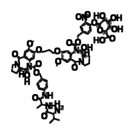 COc1cc2c(cc1OCCCOc1cc3c(cc1OC)C(=O)N1CCC[C@H]1[C@H](O)N3C(=O)OCc1ccc(O[C@@H]3O[C@H](C(=O)O)[C@@H](O)[C@H](O)[C@H]3O)c([N+](=O)[O-])c1)N(C(=O)OCc1ccc(NC(=O)C(C)NC(=O)C(N)C(C)C)cc1)[C@@H](O)[C@@H]1CCCN1C2=O